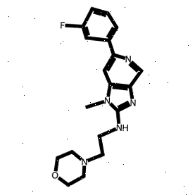 Cn1c(NCCN2CCOCC2)nc2cnc(-c3cccc(F)c3)cc21